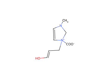 CN1C=C[N+](CC=CO)(C(=O)[O-])C1